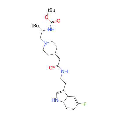 CC(C)(C)OC(=O)NC(CN1CCC(CC(=O)NCCC2=CNC3C=CC(F)=CC23)CC1)C(C)(C)C